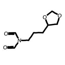 O=CN(C=O)CCCC1COCO1